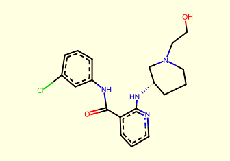 O=C(Nc1cccc(Cl)c1)c1cccnc1N[C@H]1CCCN(CCO)C1